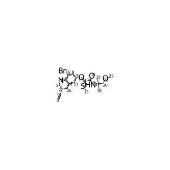 C#Cc1cnc2c(Br)cc(OC(SC)C(=O)NC(C)(C)COC)cc2c1